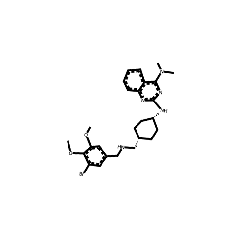 COc1cc(CNC[C@H]2CC[C@@H](Nc3nc(N(C)C)c4ccccc4n3)CC2)cc(Br)c1OC